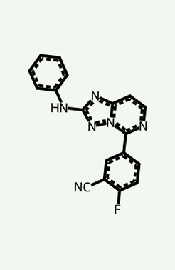 N#Cc1cc(-c2nccc3nc(Nc4ccccc4)nn23)ccc1F